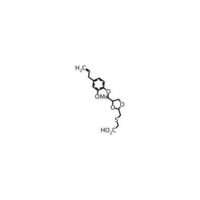 C=CCc1ccc(OCC2COC(CSCC(=O)O)O2)c(OC)c1